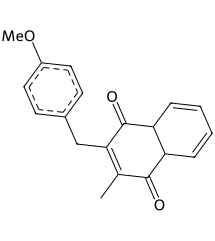 COc1ccc(CC2=C(C)C(=O)C3C=CC=CC3C2=O)cc1